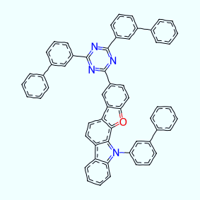 c1ccc(-c2cccc(-c3nc(-c4cccc(-c5ccccc5)c4)nc(-c4ccc5oc6c(ccc7c8ccccc8n(-c8cccc(-c9ccccc9)c8)c76)c5c4)n3)c2)cc1